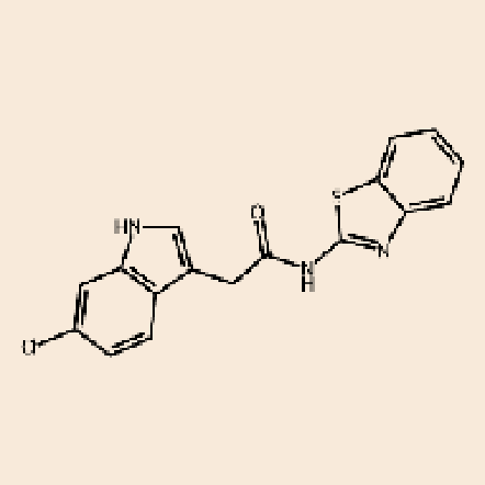 O=C(Cc1c[nH]c2cc(Cl)ccc12)Nc1nc2ccccc2s1